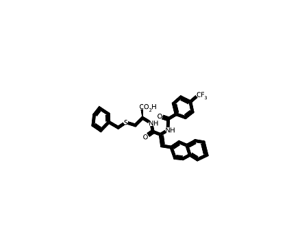 O=C(N[C@@H](CSCc1ccccc1)C(=O)O)C(=Cc1ccc2ccccc2c1)NC(=O)c1ccc(C(F)(F)F)cc1